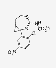 O=C(O)NC1=NC2(c3cc([N+](=O)[O-])ccc3Cl)CC2CCS1